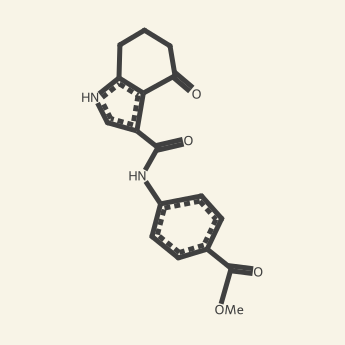 COC(=O)c1ccc(NC(=O)c2c[nH]c3c2C(=O)CCC3)cc1